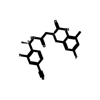 Cc1cc(F)cc2c1NC(=O)N(CC(=O)N[C@@H](C)c1ccc(C#N)cc1F)C2